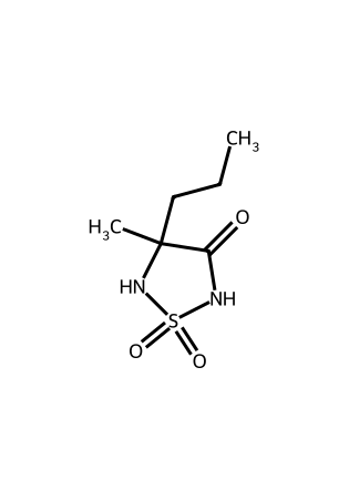 CCCC1(C)NS(=O)(=O)NC1=O